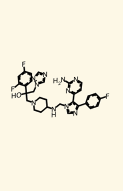 Nc1nccc(-c2c(-c3ccc(F)cc3)ncn2CNC2CCN(CC(O)(Cn3cncn3)c3ccc(F)cc3F)CC2)n1